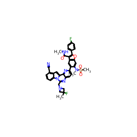 CNC(=O)c1c(-c2ccc(F)cc2)oc2cc(N(C)S(C)(=O)=O)c(-c3ccc4nc(CN5CC(C)(F)C5)n5c6cccc(C#N)c6cc5c4n3)cc12